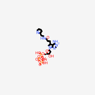 Nc1ncnc2c1c(/C=C/C(=O)NCCc1ccccn1)cn2[C@H]1CC(O)[C@@H](COP(=O)(O)OP(=O)(O)OP(=O)(O)O)O1